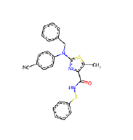 Cc1sc(N(Cc2ccccc2)c2ccc(C#N)cc2)nc1C(=O)NSc1ccccc1